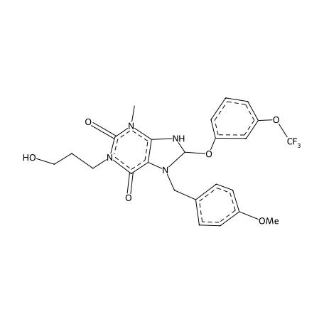 COc1ccc(CN2c3c(n(C)c(=O)n(CCCO)c3=O)NC2Oc2cccc(OC(F)(F)F)c2)cc1